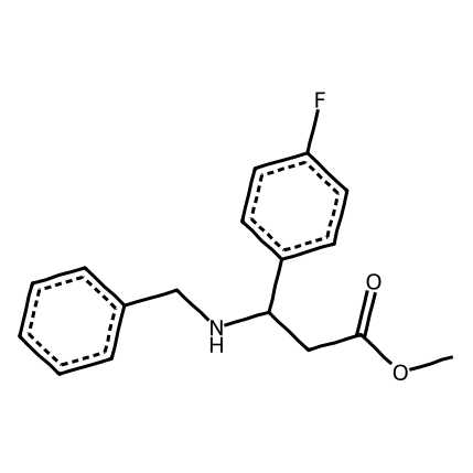 COC(=O)CC(NCc1ccccc1)c1ccc(F)cc1